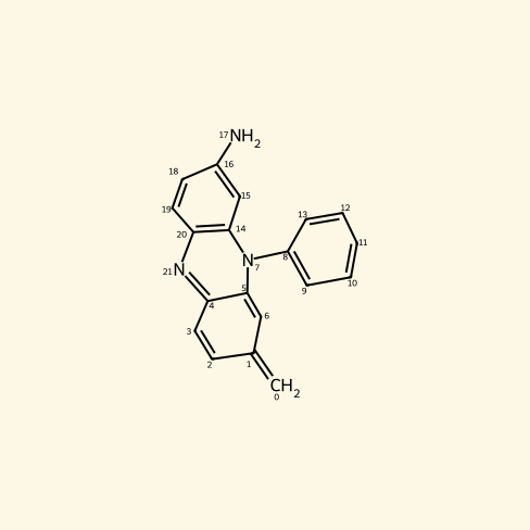 C=c1ccc2c(c1)N(c1ccccc1)c1cc(N)ccc1N=2